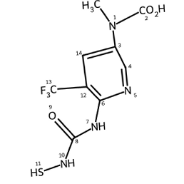 CN(C(=O)O)c1cnc(NC(=O)NS)c(C(F)(F)F)c1